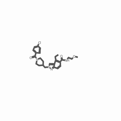 CCc1c(C(=O)NCCOC)ccc2nn(CC3CCN(C(=O)c4ccc(Cl)cc4)CC3)cc12